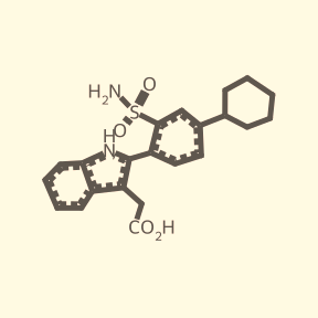 NS(=O)(=O)c1cc(C2CCCCC2)ccc1-c1[nH]c2ccccc2c1CC(=O)O